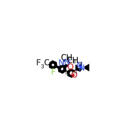 Cc1nc2c(-c3ccc(C(F)(F)F)cc3F)ccc([C@@H]3CCO[C@H](c4cnn(C5CC5)c4)C3)c2c(=O)n1C